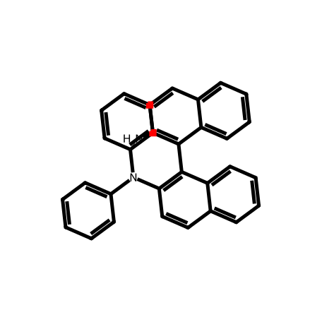 Nc1ccc2ccccc2c1-c1c(N(c2ccccc2)c2ccccc2)ccc2ccccc12